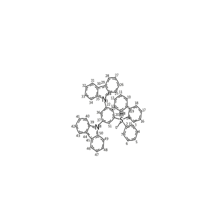 C[SH](c1ccccc1)(c1ccccc1)(c1ccccc1)c1cc(-n2c3ccccc3c3ccccc32)cc(-n2c3ccccc3c3ccccc32)c1